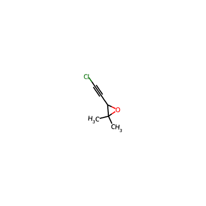 CC1(C)OC1C#CCl